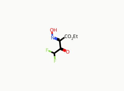 CCOC(=O)/C(=N\O)C(=O)C(F)F